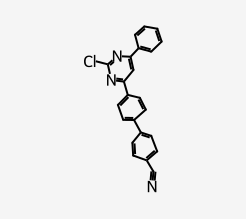 N#Cc1ccc(-c2ccc(-c3cc(-c4ccccc4)nc(Cl)n3)cc2)cc1